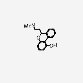 CNCCC1Oc2cccc(O)c2-c2ccccc21